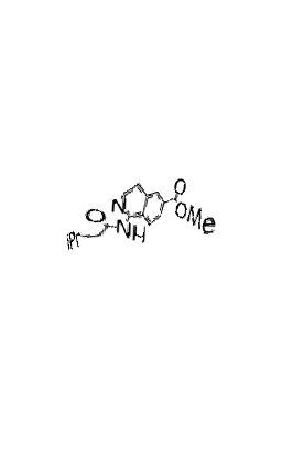 COC(=O)c1ccc2c(NC(=O)CC(C)C)nccc2c1